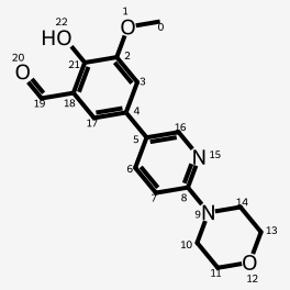 COc1cc(-c2ccc(N3CCOCC3)nc2)cc(C=O)c1O